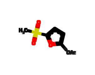 CC(=O)Oc1ccc(S(C)(=O)=O)o1